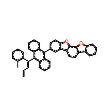 C=C/C=C(\c1ccccc1C)c1c2ccccc2c(-c2ccc3oc4c(ccc5c6ccccc6oc54)c3c2)c2ccccc12